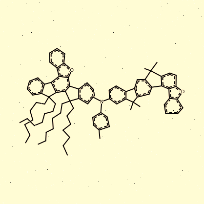 CCCCCCCC1(CCCCCCC)c2cc(N(c3ccc(C)cc3)c3ccc4c(c3)C(C)(C)c3cc5c(cc3-4)C(C)(C)c3ccc4oc6ccccc6c4c3-5)ccc2-c2c1c1c(c3c2oc2ccccc23)-c2ccccc2C1(CCCCCCC)CCCCCCC